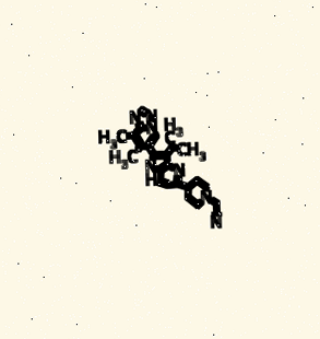 Cc1c(-c2[nH]c3ccc(C4CCN(CC#N)CC4)nc3c2C(C)C)cn2ncnc2c1C